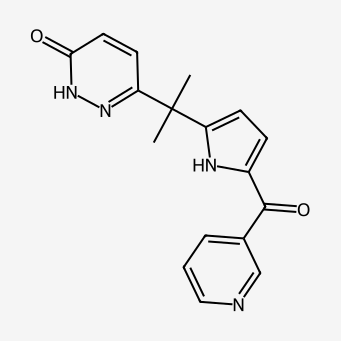 CC(C)(c1ccc(=O)[nH]n1)c1ccc(C(=O)c2cccnc2)[nH]1